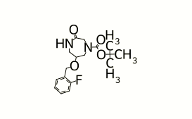 CC(C)(C)OC(=O)N1CC(=O)NCC(OCc2ccccc2F)C1